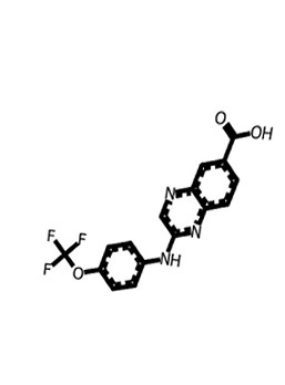 O=C(O)c1ccc2nc(Nc3ccc(OC(F)(F)F)cc3)cnc2c1